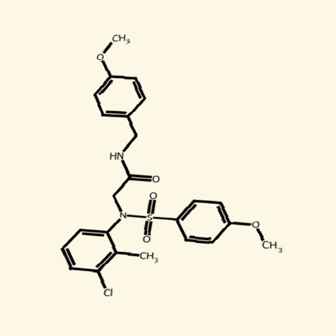 COc1ccc(CNC(=O)CN(c2cccc(Cl)c2C)S(=O)(=O)c2ccc(OC)cc2)cc1